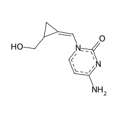 Nc1ccn(/C=C2/CC2CO)c(=O)n1